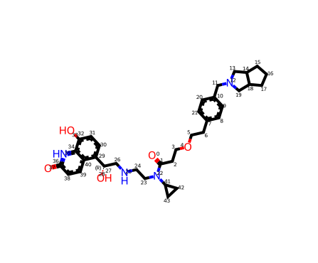 O=C(CCOCCc1ccc(CN2CC3CCCC3C2)cc1)N(CCNC[C@H](O)c1ccc(O)c2[nH]c(=O)ccc12)C1CC1